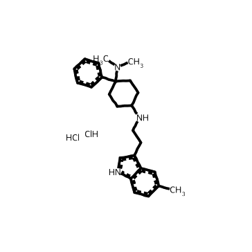 Cc1ccc2[nH]cc(CCNC3CCC(c4ccccc4)(N(C)C)CC3)c2c1.Cl.Cl